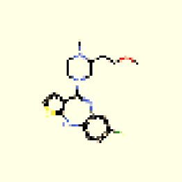 COCC[C@H]1CN(C2=Nc3cc(Cl)ccc3Nc3sccc32)CCN1C